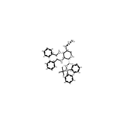 CC(C)(C)[Si](OC[C@H]1O[CH][C@H](N=[N+]=[N-])[C@@H](OCc2ccccc2)[C@@H]1OCc1ccccc1)(c1ccccc1)c1ccccc1